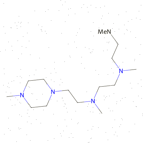 CNCCN(C)CCN(C)CCN1CCN(C)CC1